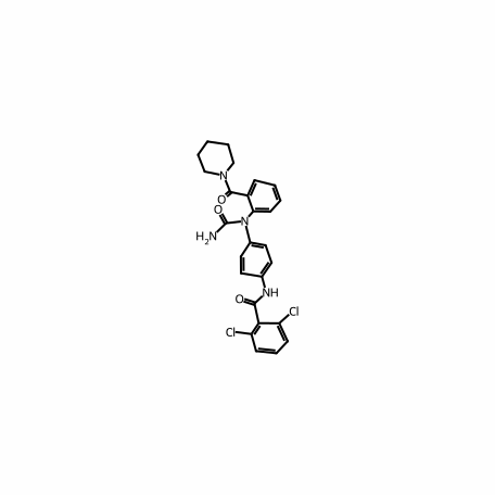 NC(=O)N(c1ccc(NC(=O)c2c(Cl)cccc2Cl)cc1)c1ccccc1C(=O)N1CCCCC1